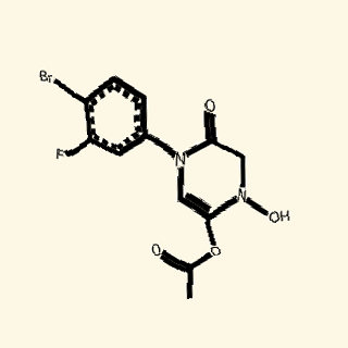 CC(=O)OC1=CN(c2ccc(Br)c(F)c2)C(=O)CN1O